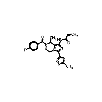 C=CC(=O)Nc1nc(-c2nc(C)ns2)n2c1C(C)N(C(=O)c1ccc(F)cc1)CC2